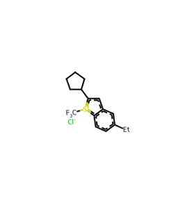 CCc1ccc2c(c1)cc(C1CCCC1)[s+]2C(F)(F)F.[Cl-]